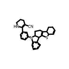 N#CC1=C(c2cccc(N3c4ccccc4C4C5=C(CCC43)C3CCC=CC3S5)c2)NCCC1